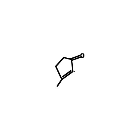 CC1=[C]C(=O)CC1